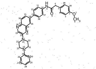 COc1ccc(CC(=O)Nc2ccc(-c3ccc4ncc(N5CCN(c6cnccn6)CC5)nc4c3)cc2)cc1